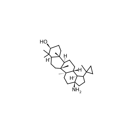 CC1(C2CC[C@]3(N)CC[C@]4(C)[C@H](CC[C@@H]5[C@@]6(C)CC[C@H](O)C(C)(C)[C@@H]6CC[C@]54C)[C@@H]23)CC1